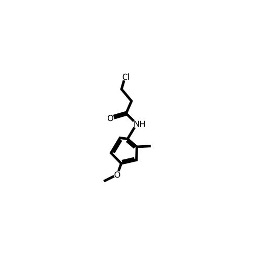 COc1ccc(NC(=O)CCCl)c(C)c1